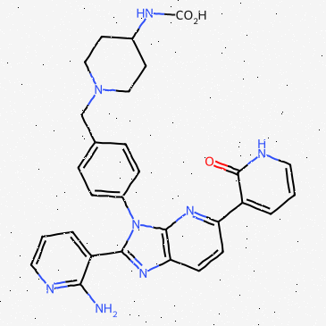 Nc1ncccc1-c1nc2ccc(-c3ccc[nH]c3=O)nc2n1-c1ccc(CN2CCC(NC(=O)O)CC2)cc1